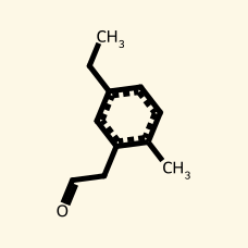 CCc1ccc(C)c(CC=O)c1